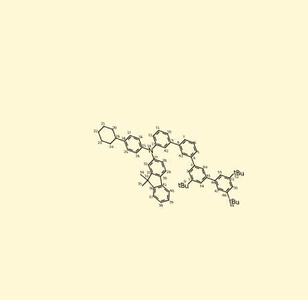 CC(C)(C)c1cc(-c2cccc(-c3cccc(N(c4ccc(C5CCCCC5)cc4)c4ccc5c(c4)C(C)(C)c4ccccc4-5)c3)c2)cc(-c2cc(C(C)(C)C)cc(C(C)(C)C)c2)c1